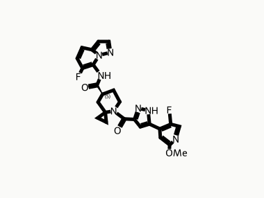 COc1cc(-c2cc(C(=O)N3CC[C@H](C(=O)Nc4c(F)ccc5ccnn45)CC34CC4)n[nH]2)c(F)cn1